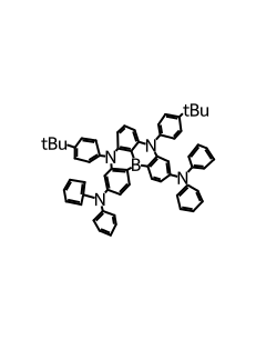 CC(C)(C)c1ccc(N2c3cc(N(c4ccccc4)c4ccccc4)ccc3B3c4ccc(N(c5ccccc5)c5ccccc5)cc4N(c4ccc(C(C)(C)C)cc4)c4cccc2c43)cc1